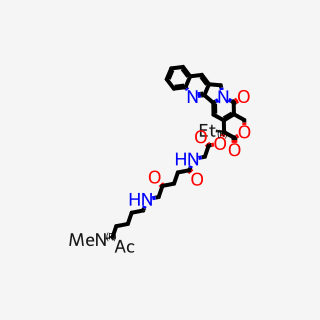 CC[C@]1(OC(=O)CNC(=O)CCC(=O)CNCCCC[C@@H](NC)C(C)=O)C(=O)OCc2c1cc1n(c2=O)Cc2cc3ccccc3nc2-1